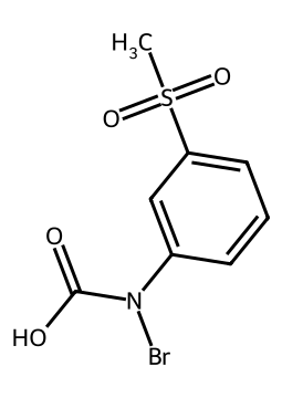 CS(=O)(=O)c1cccc(N(Br)C(=O)O)c1